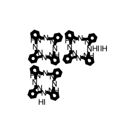 I.I.I.c1ccc2c(c1)-c1nc-2nc2[nH]c(nc3nc(nc4[nH]c(n1)c1ccccc41)-c1ccccc1-3)c1ccccc21.c1ccc2c(c1)-c1nc-2nc2[nH]c(nc3nc(nc4[nH]c(n1)c1ccccc41)-c1ccccc1-3)c1ccccc21.c1ccc2c(c1)-c1nc-2nc2[nH]c(nc3nc(nc4[nH]c(n1)c1ccccc41)-c1ccccc1-3)c1ccccc21